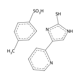 Cc1ccc(S(=O)(=O)O)cc1.Sc1nc(-c2ccccn2)c[nH]1